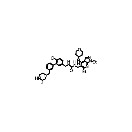 CCc1nc2c(cnn2CC)c(NC2CCOCC2)c1CNC(=O)NCc1ccc(Cl)c(-c2cccc(CN3CCN[C@H](C)C3)c2)c1